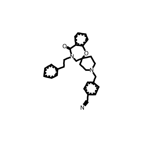 N#Cc1ccc(CN2CCC3(CC2)CN(CCc2ccccc2)C(=O)c2ccccc2O3)cc1